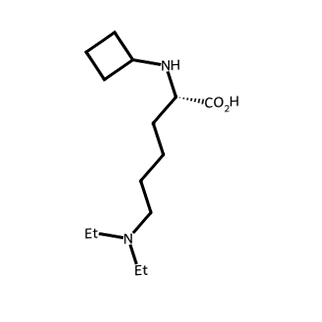 CCN(CC)CCCC[C@H](NC1CCC1)C(=O)O